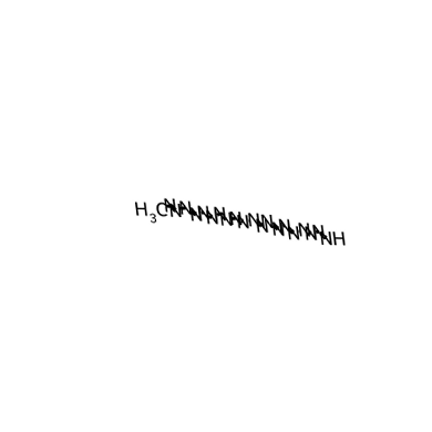 CN=NN=NN=NN=NN=NN=NN=NN=NN=NN=N